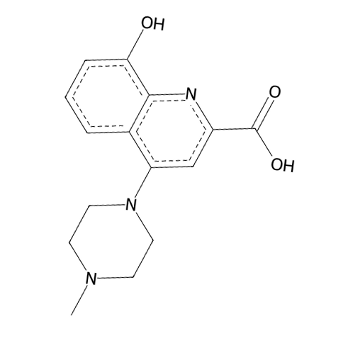 CN1CCN(c2cc(C(=O)O)nc3c(O)cccc23)CC1